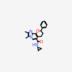 Cc1nc2c3c(c(C(=O)NC4CC4)cn2c1C)CCC(c1ccccc1)O3